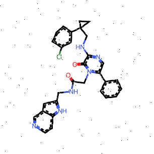 O=C(Cn1c(-c2ccccc2)cnc(NCC2(c3cccc(Cl)c3)CC2)c1=O)NCc1cc2cnccc2[nH]1